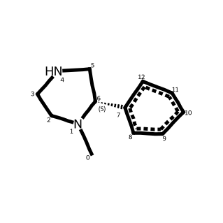 CN1CCNC[C@@H]1c1ccccc1